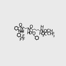 CC(C)(C)OC(=O)NCCCCC(C(=O)NCCCNC(=O)c1ccccc1Nc1cccc(C(F)(F)F)c1)C(=O)OCc1ccccc1